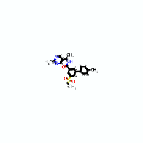 CCS(=O)(=O)c1cc(C(=O)N[C@H](C)c2cnc(C)nc2)cc(-c2ccc(C)cc2)c1